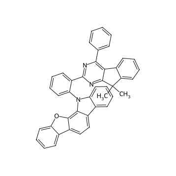 CC1(C)c2ccccc2-c2c(-c3ccccc3)nc(-c3ccccc3-n3c4ccccc4c4ccc5c6ccccc6oc5c43)nc21